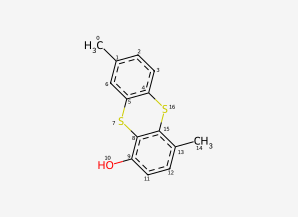 Cc1ccc2c(c1)Sc1c(O)ccc(C)c1S2